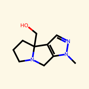 Cn1ncc2c1CN1CCCC21CO